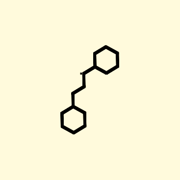 [CH](CCC1CCCCC1)C1CCCCC1